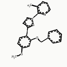 COc1ccc(-c2ccn(-c3ncccc3C)n2)c(OCc2ccccc2)c1